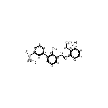 C[C@@H](N)c1cccc(-c2cccc(COc3ccccc3CC(=O)O)c2F)c1